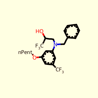 CCCCCOc1cc(N(Cc2ccccc2)CC(O)C(F)(F)F)cc(C(F)(F)F)c1